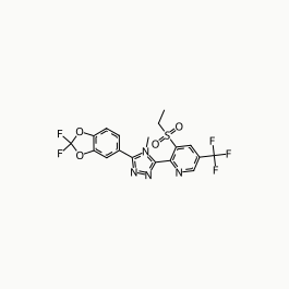 CCS(=O)(=O)c1cc(C(F)(F)F)cnc1-c1nnc(-c2ccc3c(c2)OC(F)(F)O3)n1C